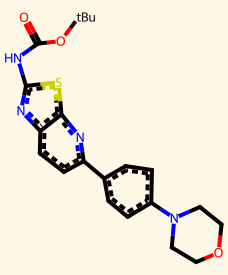 CC(C)(C)OC(=O)Nc1nc2ccc(-c3ccc(N4CCOCC4)cc3)nc2s1